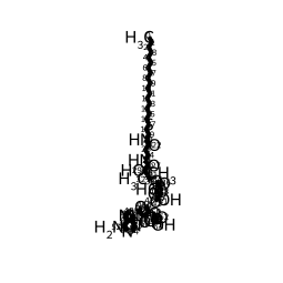 CCCCCCCCCCCCCCCCCSCCNC(=O)CCNC(=O)[C@H](O)C(C)(C)COP(=O)(O)OP(=O)(O)OC[C@H]1O[C@@H](n2cnc3c(N)ncnc32)[C@H](O)[C@@H]1OP(=O)(O)O